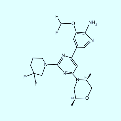 C[C@H]1CN(c2cc(-c3cnc(N)c(OC(F)F)c3)nc(N3CCCC(F)(F)C3)n2)[C@@H](C)CO1